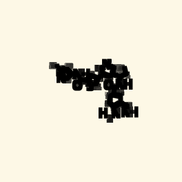 CCC(NC(=O)c1ccc(N)c(C=N)c1)c1cncc(-c2csc(C(=O)Nc3cnn(C)c3)c2)c1